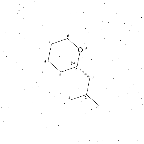 CC(C)C[C@@H]1CCCCO1